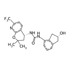 CC1(C)C[C@@H](NC(=O)Nc2cccc3c2C[C@H](O)C3)c2ccc(C(F)(F)F)nc2O1